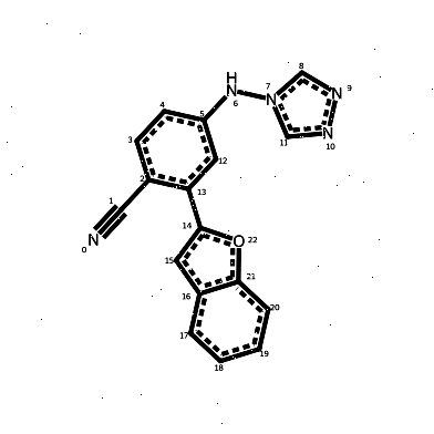 N#Cc1ccc(Nn2cnnc2)cc1-c1cc2ccccc2o1